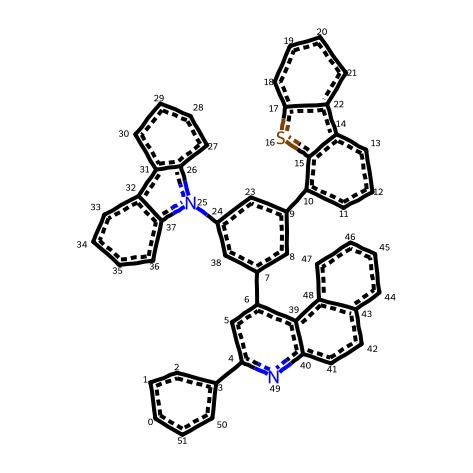 c1ccc(-c2cc(-c3cc(-c4cccc5c4sc4ccccc45)cc(-n4c5ccccc5c5ccccc54)c3)c3c(ccc4ccccc43)n2)cc1